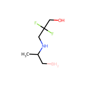 BCC(C)NCC(F)(F)CO